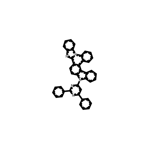 c1ccc(-c2cc(-n3c4ccccc4c4c5c6ccccc6n6c7ccccc7nc6c5ccc43)nc(-c3ccccc3)n2)cc1